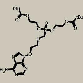 CC(C)(C)C(=O)OCCOP(=O)(COCCOn1cnc2c(N)ncnc21)OCCOC(=O)C(C)(C)C